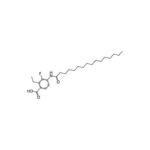 CCCCCCCCCCCCCCCC(=O)Nc1ccc(C(=O)O)c(CC)c1F